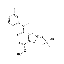 Cc1cccc(N(C)C(=O)[C@@H]2C[C@H](O[Si](C)(C)C(C)(C)C)CN2C(=O)OC(C)(C)C)c1